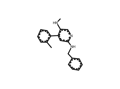 CNc1cnc(NCc2ccccc2)cc1-c1ccccc1C